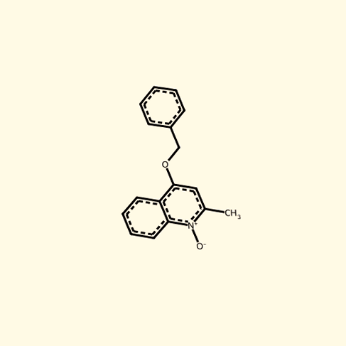 Cc1cc(OCc2ccccc2)c2ccccc2[n+]1[O-]